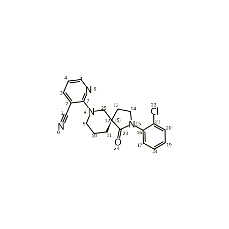 N#Cc1cccnc1N1CCC[C@]2(CCN(c3ccccc3Cl)C2=O)C1